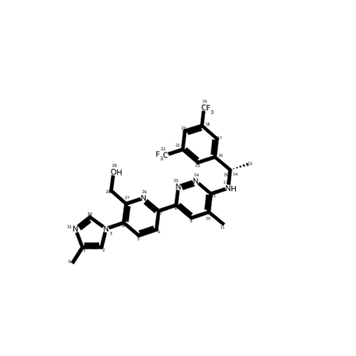 Cc1cn(-c2ccc(-c3cc(C)c(N[C@@H](C)c4cc(C(F)(F)F)cc(C(F)(F)F)c4)nn3)nc2CO)cn1